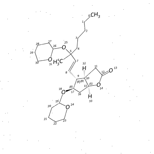 CCCCCC(C)(C=C[C@@H]1[C@H]2CC(=O)O[C@H]2C[C@H]1OC1CCCCO1)OC1CCCCO1